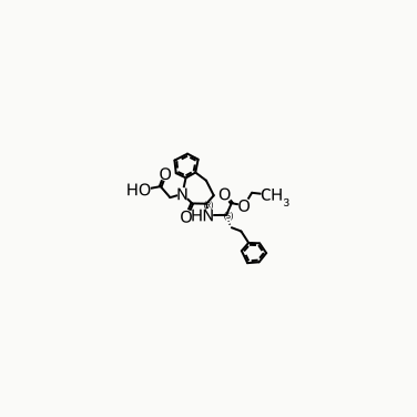 CCOC(=O)[C@H](CCc1ccccc1)N[C@@H]1CCc2ccccc2N(CC(=O)O)C1=O